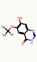 [2H]C([2H])([2H])Oc1cc2c(=O)[nH]cnc2cc1O